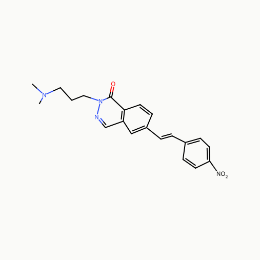 CN(C)CCCn1ncc2cc(/C=C/c3ccc([N+](=O)[O-])cc3)ccc2c1=O